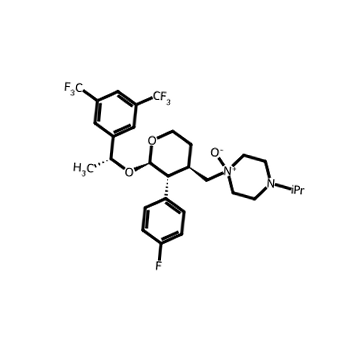 CC(C)N1CC[N+]([O-])(C[C@@H]2CCO[C@H](O[C@H](C)c3cc(C(F)(F)F)cc(C(F)(F)F)c3)[C@H]2c2ccc(F)cc2)CC1